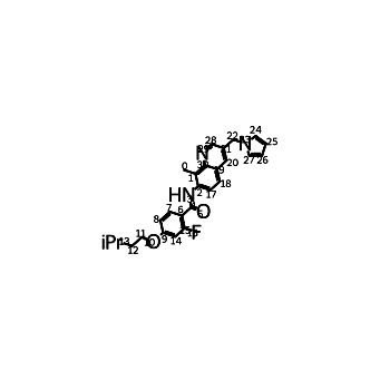 Cc1c(NC(=O)c2ccc(OCCC(C)C)cc2F)ccc2cc(Cn3cccc3)cnc12